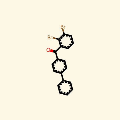 O=C(c1ccc(-c2ccccc2)cc1)c1cccc(Br)c1Br